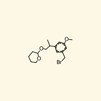 COc1cc(CBr)cc(C(C)COC2CCCCO2)c1